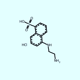 Cl.NCCNc1cccc2c(S(=O)(=O)O)cccc12